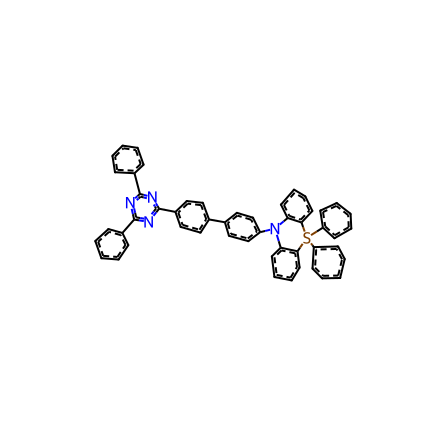 c1ccc(-c2nc(-c3ccccc3)nc(-c3ccc(-c4ccc(N5c6ccccc6S(c6ccccc6)(c6ccccc6)c6ccccc65)cc4)cc3)n2)cc1